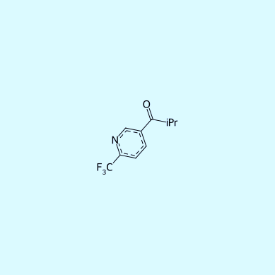 CC(C)C(=O)c1ccc(C(F)(F)F)nc1